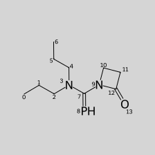 CCCN(CCC)C(=P)N1CCC1=O